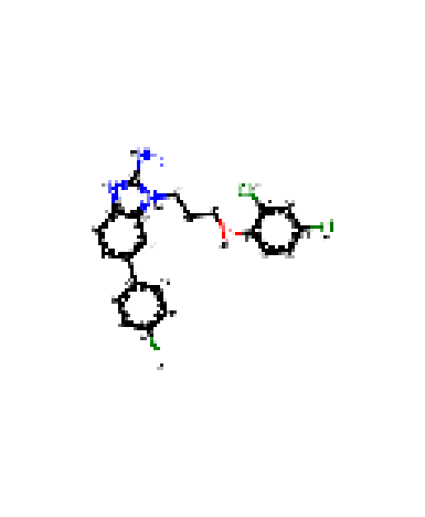 Nc1nc2ccc(-c3ccc(F)cc3)cc2n1CCCOc1ccc(Cl)cc1Cl